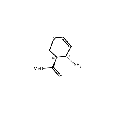 COC(=O)[C@H]1CSC=C[C@@H]1N